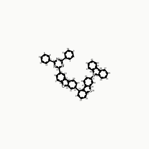 c1ccc(-c2nc(-c3ccccc3)nc(-c3ccc4oc5cc(-c6cccc7sc8cc(-n9c%10ccccc%10c%10ccccc%109)ccc8c67)ccc5c4c3)n2)cc1